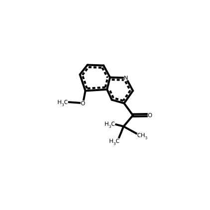 COc1cccc2ncc(C(=O)C(C)(C)C)cc12